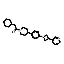 O=C(CC1CCCCC1)N1CCC(c2ccc(N3CC(c4cccnc4)C3)cc2)CC1